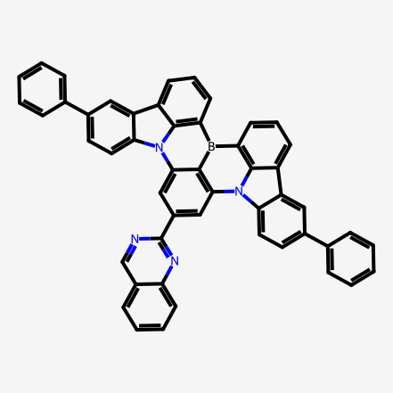 c1ccc(-c2ccc3c(c2)c2cccc4c2n3-c2cc(-c3ncc5ccccc5n3)cc3c2B4c2cccc4c5cc(-c6ccccc6)ccc5n-3c24)cc1